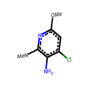 CNc1nc(OC)cc(Cl)c1N